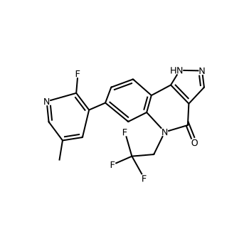 Cc1cnc(F)c(-c2ccc3c4[nH]ncc4c(=O)n(CC(F)(F)F)c3c2)c1